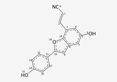 N#C/C=C/c1cc(O)cc2cc(-c3ccc(O)cc3)oc12